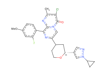 COc1ccc(-c2nc(C3CCO[C@@H](c4cnn(C5CC5)c4)C3)cn3c(=O)c(Cl)c(C)nc23)c(F)c1